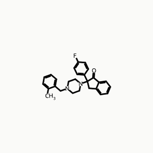 Cc1ccccc1CN1CCN(C2(c3ccc(F)cc3)Cc3ccccc3C2=O)CC1